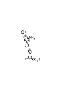 Nc1nc(N2CCC[C@@H](CN3CCN(c4cc(F)cc(C(=O)O)c4)CC3)C2)nc2nc(-c3ccco3)nn12